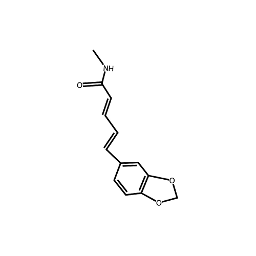 CNC(=O)C=CC=Cc1ccc2c(c1)OCO2